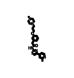 Cc1cc(-c2csc(NC(=O)Cc3cccc(OCCCN4CCN(C)CC4)c3)n2)ccn1